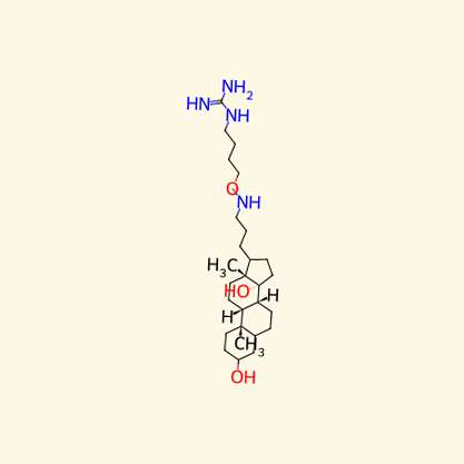 C[C@]12CCC(O)CC1CC[C@@H]1[C@H]2CC[C@]2(C)C(CCCNOCCCCNC(=N)N)CC[C@@]12O